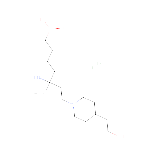 Cl.Cl.NC(CCCCB(O)O)(CCN1CCC(CCO)CC1)C(=O)O